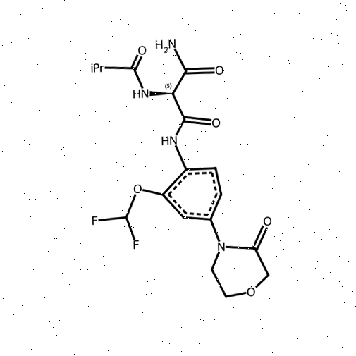 CC(C)C(=O)N[C@@H](C(N)=O)C(=O)Nc1ccc(N2CCOCC2=O)cc1OC(F)F